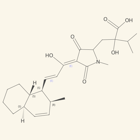 CC(C)C(O)(CC1C(=O)/C(=C(O)/C=C/[C@@H]2[C@H]3CCCC[C@@H]3C=C[C@@H]2C)C(=O)N1C)C(=O)O